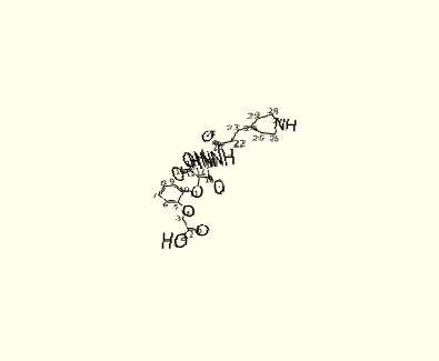 O=C(O)COc1ccccc1OC(C(=O)O)C(=O)NNC(=O)CCC1CCNCC1